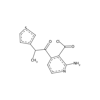 CC(C(=O)c1ccnc(N)c1C(=O)Cl)c1ccsc1